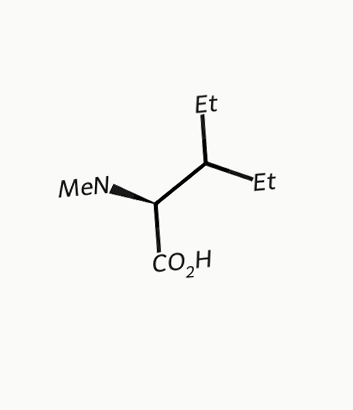 CCC(CC)[C@H](NC)C(=O)O